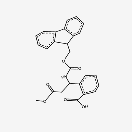 COC(=O)CC(NC(=O)OCC1c2ccccc2-c2ccccc21)c1ccccc1C(=O)O